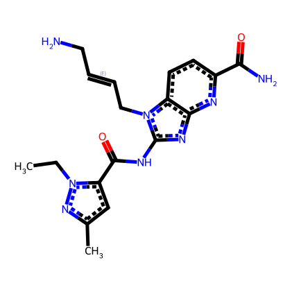 CCn1nc(C)cc1C(=O)Nc1nc2nc(C(N)=O)ccc2n1C/C=C/CN